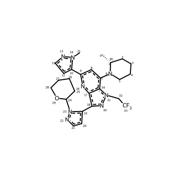 C[C@@H]1CCCCN1c1cc(-c2ccnn2C)nc2c(-c3ccnn3C3CCCCO3)nn(CC(F)(F)F)c12